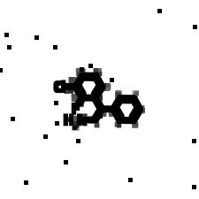 NCC(c1ccccc1)c1cccc(Cl)c1F